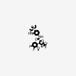 CCP(=O)(CC)c1ccc(NC(=O)[C@@H]2O[C@@](C)(C(F)(F)F)[C@@H](C)[C@H]2c2ccc(F)c(F)c2OC)cc1NC